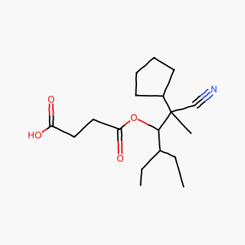 CCC(CC)C(OC(=O)CCC(=O)O)C(C)(C#N)C1CCCC1